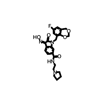 O=C(NCCN1CCCC1)c1ccc2c(c1)N(Cc1cc(F)cc3c1OCOC3)C(=O)/C2=N\O